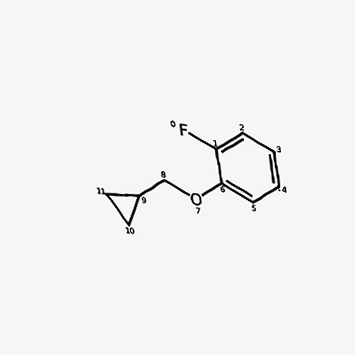 Fc1cc[c]cc1OCC1CC1